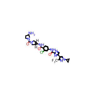 Cn1c(-c2cn(C3CC3)nc2C(F)(F)F)cnc1C(=O)Nc1ccc(C(=O)N[C@H]2[C@@H]3CN(C(=O)N4CC[C@@H](N)C4)C[C@@H]32)c(Cl)c1